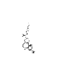 CCCOCCC(=O)N1CCN2c3ncc(Br)cc3SCCC2C1